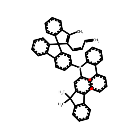 C=C/C=C\C1=C(C)c2ccccc2C12c1ccccc1-c1ccc(N(c3ccc4c(c3)C(C)(C)c3ccccc3-4)c3ccccc3-c3ccccc3)cc12